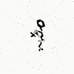 CN(C)CCNC(=O)C=C[C@@H](Cc1ccccc1)NC(=O)OC(C)(C)C